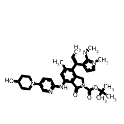 C=Nc1c(/C(=C\C)c2c(C)cc(Nc3ccc(N4CCC(O)CC4)cn3)c3c2CN(C(=O)OC(C)(C)C)C3=O)ccn1C